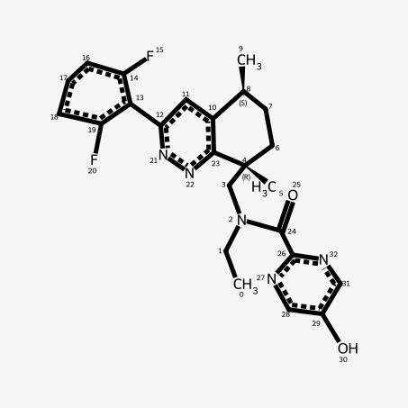 CCN(C[C@@]1(C)CC[C@H](C)c2cc(-c3c(F)cccc3F)nnc21)C(=O)c1ncc(O)cn1